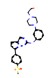 C[C@H](O)CN1CCN(c2cccc(Nc3ncc4ccc(-c5ccc(S(C)(=O)=O)cc5)n4n3)c2)CC1